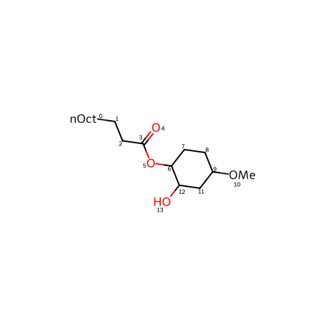 CCCCCCCCCCC(=O)OC1CCC(OC)CC1O